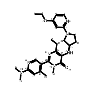 CCOc1ccnc(N2CCC(Nc3c(CC)nc(-c4cnc(N(C)C)cc4C)n(C)c3=O)C2)c1